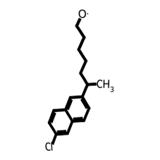 CC(CCCCC[O])c1ccc2cc(Cl)ccc2c1